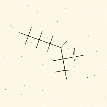 O=S(=O)(O)C(F)(C(F)C(F)(F)C(F)(F)C(F)(F)F)C(F)(F)F